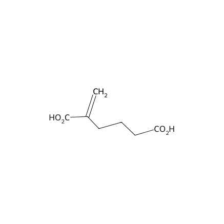 C=C(CCCC(=O)O)C(=O)O